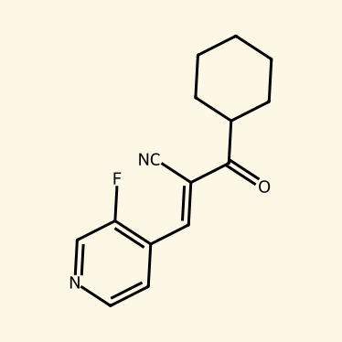 N#CC(=Cc1ccncc1F)C(=O)C1CCCCC1